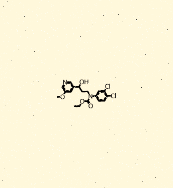 CCOC(=O)N(CCC(O)c1cncc(OC)c1)c1ccc(Cl)c(Cl)c1